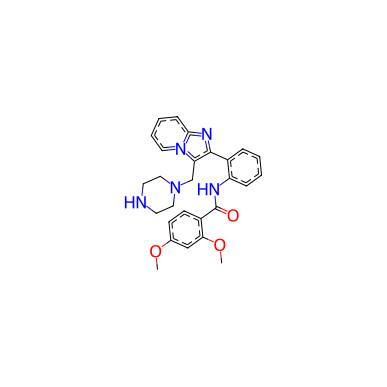 COc1ccc(C(=O)Nc2ccccc2-c2nc3ccccn3c2CN2CCNCC2)c(OC)c1